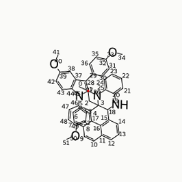 CCCC12c3cccc4ccc5cccc(c5c34)C1Nc1ccccc1N2c1c(-c2ccc(OC)cc2)c2cc(OC)ccc2n1-c1ccc(OC)cc1